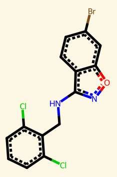 Clc1cccc(Cl)c1CNc1noc2cc(Br)ccc12